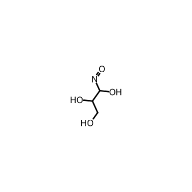 O=NC(O)C(O)CO